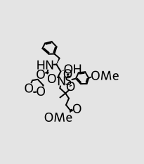 COC(=O)CCC(C)(C)CN(C[C@@H](O)[C@H](Cc1ccccc1)NC(=O)OC1COCOC1)S(=O)(=O)c1ccc(OC)cc1